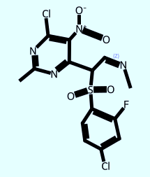 C/N=C\C(c1nc(C)nc(Cl)c1[N+](=O)[O-])S(=O)(=O)c1ccc(Cl)cc1F